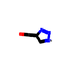 O=C=C1C=[N+]N=N1